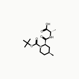 C[C@H]1CCN(C(=O)OC(C)(C)C)[C@@H](C(=O)N[C@@H](C)C(=O)O)C1